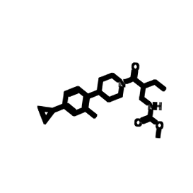 CCC(CNC(=O)OC)C(=O)N1CCC(c2ccc(C3CC3)cc2C)CC1